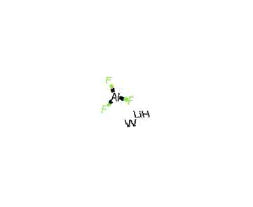 [F][Al]([F])[F].[LiH].[W]